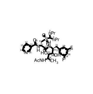 CCCC(CCC)S(=O)(=O)C[C@@H](NC(=O)c1cccnc1)C(=O)N[C@@H](Cc1cc(F)cc(F)c1)[C@@H](O)[C@H](O)[C@@H](C)NC(C)=O